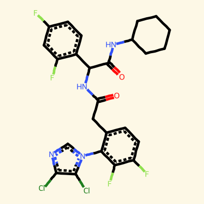 O=C(Cc1ccc(F)c(F)c1-n1cnc(Cl)c1Cl)NC(C(=O)NC1CCCCC1)c1ccc(F)cc1F